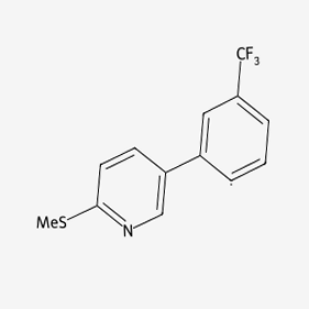 CSc1ccc(-c2[c]ccc(C(F)(F)F)c2)cn1